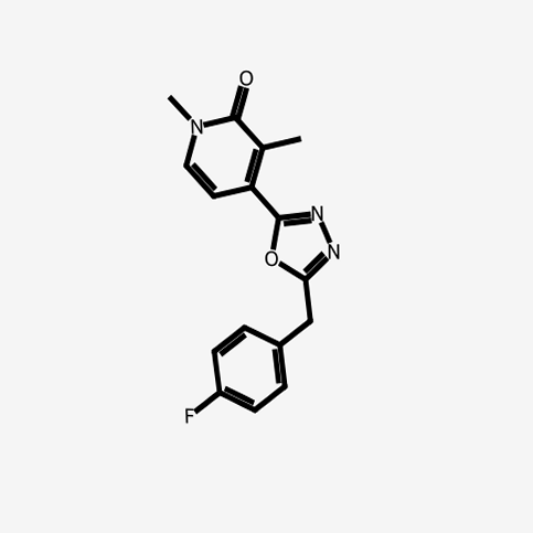 Cc1c(-c2nnc(Cc3ccc(F)cc3)o2)ccn(C)c1=O